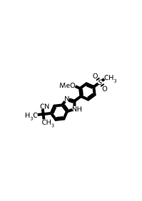 COc1cc(S(C)(=O)=O)ccc1-c1nc2cc(C(C)(C)C#N)ccc2[nH]1